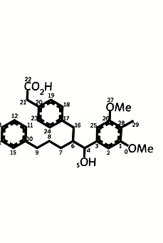 COc1cc(C(O)C(CCCc2ccccc2)Cc2ccc(CC(=O)O)cc2)cc(OC)c1C